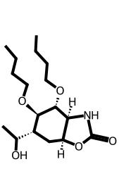 CCCCO[C@@H]1[C@H]2NC(=O)O[C@H]2C[C@H](C(C)O)[C@H]1OCCCC